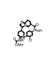 CCCN(C(=O)c1ccc2ncc(-c3ccc(NC(=O)OC)nc3)n2c1)c1ccc(C)c(Cl)c1